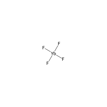 [F][Yb]([F])([F])[F]